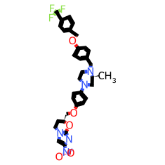 C[C@@H]1CN(c2ccc(OC[C@H]3CCn4cc([N+](=O)[O-])nc4O3)cc2)CCN1Cc1ccc(OCc2ccc(C(F)(F)F)cc2)cc1